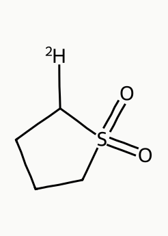 [2H]C1CCCS1(=O)=O